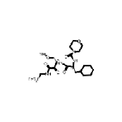 CCCCOC[C@H](NC(=O)[C@H](CC1CCCCC1)NC(=O)N1CCOCC1)C(=O)C(=O)NCC(=O)OCC